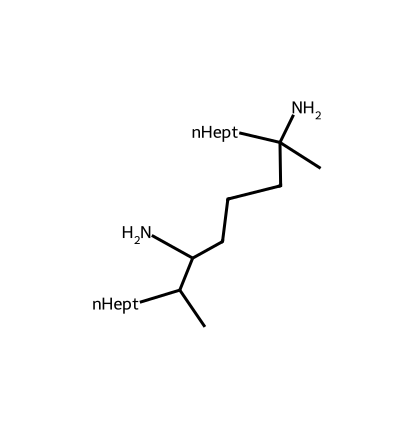 CCCCCCCC(C)C(N)CCCC(C)(N)CCCCCCC